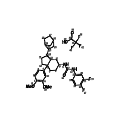 COc1ccc(C23CCC(NC(=O)Nc4ccc(F)c(F)c4)CC2N(C2CC4CCC2C4)CC3)cc1OC.O=C(O)C(F)(F)F